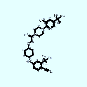 N#Cc1ccc(N[C@H]2CC[C@H](OCC(=S)N3CCN(c4ncc(C(F)(F)F)cc4Cl)CC3)CC2)cc1C(F)(F)F